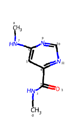 CNC(=O)c1cc(NC)ncn1